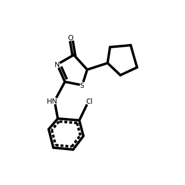 O=C1N=C(Nc2ccccc2Cl)SC1C1CCCC1